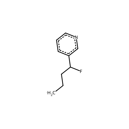 [CH2]CCC(F)c1cccnc1